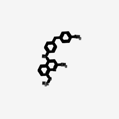 COc1cccc2c(Nc3ccc(Cc4ccc(N)cc4)cc3)cc(C)nc12